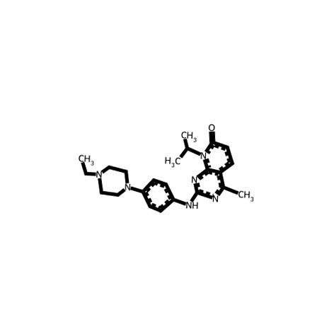 CCN1CCN(c2ccc(Nc3nc(C)c4ccc(=O)n(C(C)C)c4n3)cc2)CC1